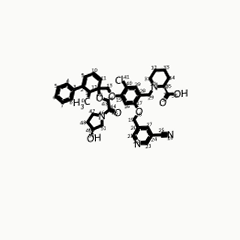 CC1C(c2ccccc2)=CC=CC1(COc1cc(OCc2cncc(C#N)c2)c(CN2CCCC[C@H]2C(=O)O)cc1Cl)OCC(=O)N1CC[C@H](O)C1